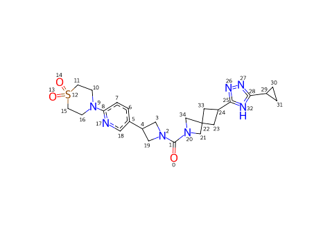 O=C(N1CC(c2ccc(N3CCS(=O)(=O)CC3)nc2)C1)N1CC2(CC(c3nnc(C4CC4)[nH]3)C2)C1